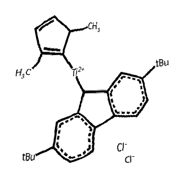 CC1=[C]([Ti+2][CH]2c3cc(C(C)(C)C)ccc3-c3ccc(C(C)(C)C)cc32)C(C)C=C1.[Cl-].[Cl-]